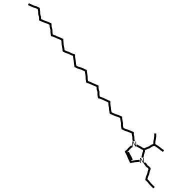 CCCCCCCCCCCCCCCCCCN1C=CN(CCC)C1C(C)C